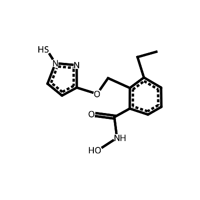 CCc1cccc(C(=O)NO)c1COc1ccn(S)n1